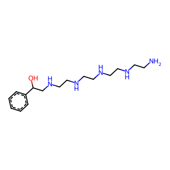 NCCNCCNCCNCCNCC(O)c1ccccc1